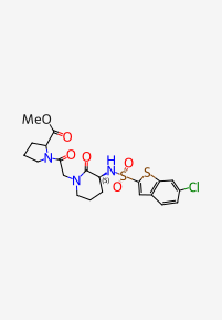 COC(=O)C1CCCN1C(=O)CN1CCC[C@H](NS(=O)(=O)c2cc3ccc(Cl)cc3s2)C1=O